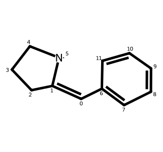 C(=C1CCC[N]1)c1ccccc1